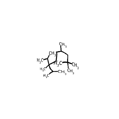 CC(C[CH]C(C)(C(C)C)C(C)C)CC(C)(C)C